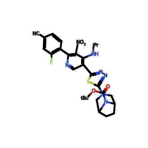 CC(C)Nc1c(-c2nnc(N3CC4CCC(C3)N4C(=O)OC(C)(C)C)s2)cnc(-c2ccc(C#N)cc2F)c1[N+](=O)[O-]